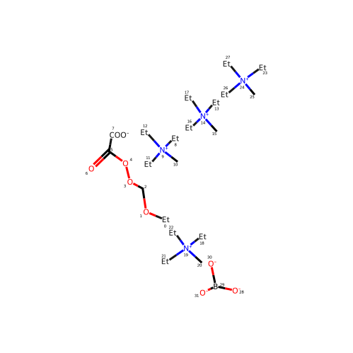 CCOCOOC(=O)C(=O)[O-].CC[N+](C)(CC)CC.CC[N+](C)(CC)CC.CC[N+](C)(CC)CC.CC[N+](C)(CC)CC.[O-]B([O-])[O-]